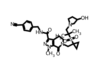 Cn1nc(C(=O)NCc2ccc(C#N)cc2)c2c1C(=O)N(CC1(S(=O)(=O)C(C)(C)CN3CCC(O)C3)CC1)CC2